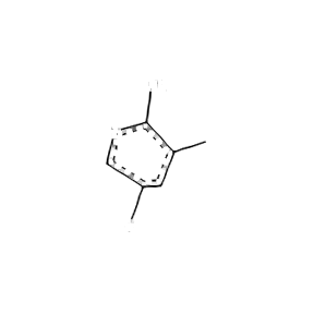 Cc1cc(Cl)cnc1C(F)(F)F